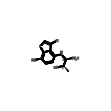 C[C@H](O)[C@@H](Nc1ccc(C#N)c2scc(Cl)c12)C(=O)O